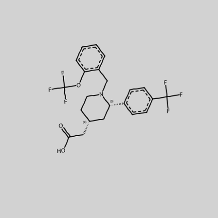 O=C(O)C[C@@H]1CCN(Cc2ccccc2OC(F)(F)F)[C@H](c2ccc(C(F)(F)F)cc2)C1